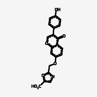 O=C(O)c1cnc(COc2ccc3c(=O)c(-c4ccc(O)cc4)coc3c2)o1